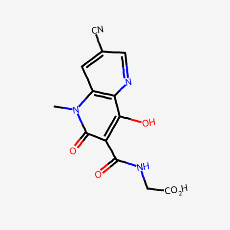 Cn1c(=O)c(C(=O)NCC(=O)O)c(O)c2ncc(C#N)cc21